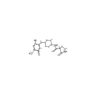 Cn1cc(Br)c(OC2CCC(NC(=O)N3CCNC3=O)CC2)cc1=O